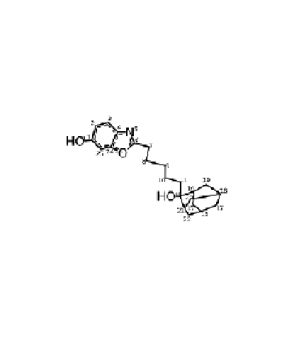 Oc1ccc2nc(CCCCCC3(O)C4CC5CC(C4)CC3C5)oc2c1